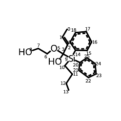 CC=CC(O)(OCCO)[Si](CCCC)(c1ccccc1)c1ccccc1